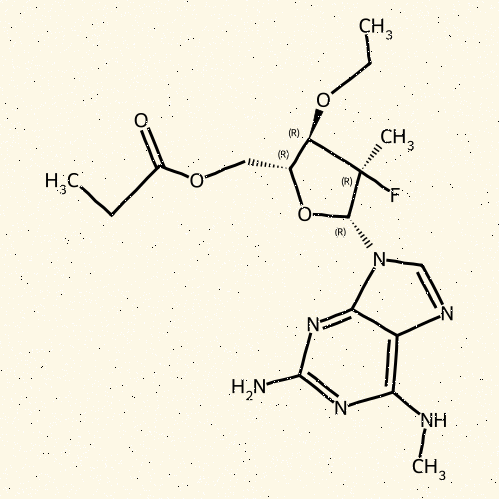 CCO[C@@H]1[C@@H](COC(=O)CC)O[C@@H](n2cnc3c(NC)nc(N)nc32)[C@]1(C)F